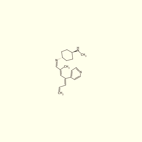 C=C\C=C(/C=C(C)/C=N\[C@H]1CC[C@H](NC)CC1)c1ccncc1